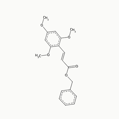 COc1cc(OC)c(/C=C/C(=O)OCc2ccccc2)c(OC)c1